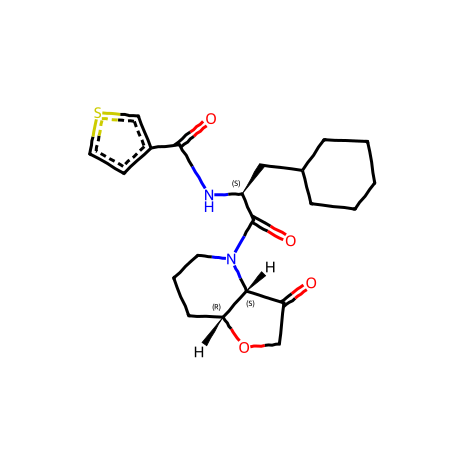 O=C(N[C@@H](CC1CCCCC1)C(=O)N1CCC[C@H]2OCC(=O)[C@H]21)c1ccsc1